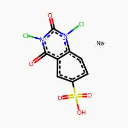 O=c1c2cc(S(=O)(=O)O)ccc2n(Cl)c(=O)n1Cl.[Na]